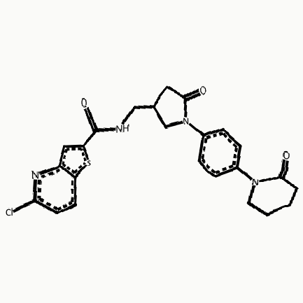 O=C(NCC1CC(=O)N(c2ccc(N3CCCCC3=O)cc2)C1)c1cc2nc(Cl)ccc2s1